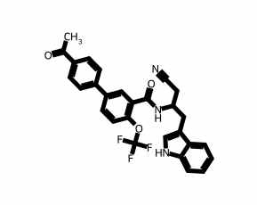 CC(=O)c1ccc(-c2ccc(OC(F)(F)F)c(C(=O)NC(CC#N)Cc3c[nH]c4ccccc34)c2)cc1